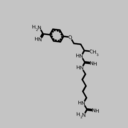 CC(CCOc1ccc(C(=N)N)cc1)NC(=N)NCCCCCNC(=N)N